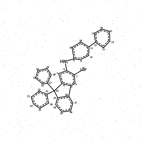 Brc1cc2c(cc1Nc1ccc(-c3ccccc3)cc1)C(c1ccccc1)(c1ccccc1)c1ccccc1-2